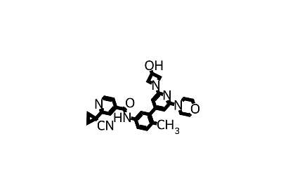 Cc1ccc(NC(=O)c2ccnc(C3(C#N)CC3)c2)cc1-c1cc(N2CCOCC2)nc(N2CC(O)C2)c1